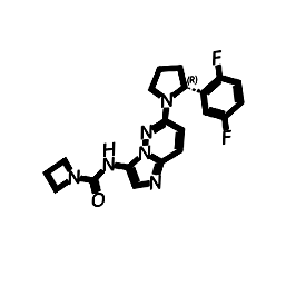 O=C(Nc1cnc2ccc(N3CCC[C@@H]3c3cc(F)ccc3F)nn12)N1CCC1